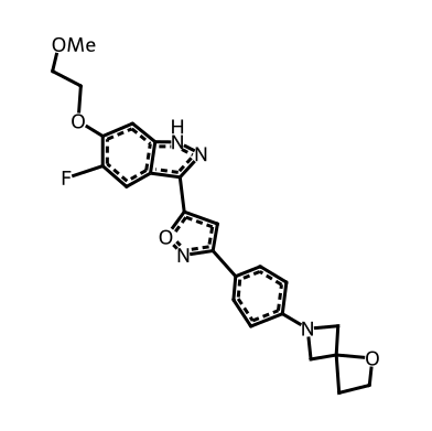 COCCOc1cc2[nH]nc(-c3cc(-c4ccc(N5CC6(CCO6)C5)cc4)no3)c2cc1F